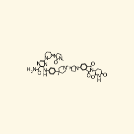 CN1CCN([C@@H]2CCCN(c3cnc(C(N)=O)c(Nc4ccc(C5(C)CCN(C[C@H]6CCN(c7ccc8c(c7)C(=O)N(C7CCC(=O)NC7=O)C8=O)C6)CC5)cc4)n3)C2)C1=O